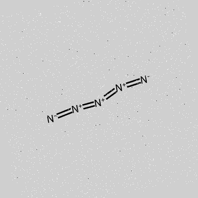 [N-]=[N+]=[N+]=[N+]=[N-]